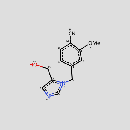 COc1cc(Cn2cncc2CO)ccc1C#N